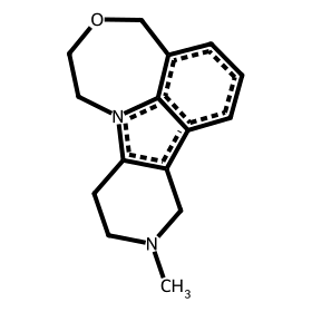 CN1CCc2c(c3cccc4c3n2CCOC4)C1